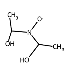 CC(O)N([O])C(C)O